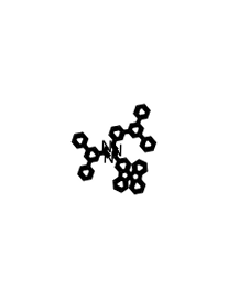 c1ccc(-c2cc(-c3ccccc3)cc(-c3cccc(-c4nc(-c5cc(-c6ccccc6)cc(-c6ccccc6)c5)nc(-c5ccc6c(c5)-c5ccccc5C65c6ccccc6-c6ccccc65)n4)c3)c2)cc1